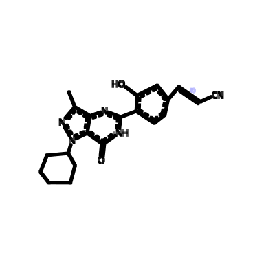 Cc1nn(C2CCCCC2)c2c(=O)[nH]c(-c3ccc(/C=C/C#N)cc3O)nc12